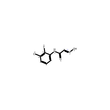 O=C(/C=N/O)Nc1cccc(Cl)c1F